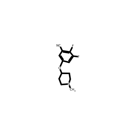 CN1CCC(Oc2cc(F)c(F)c(C#N)c2)CC1